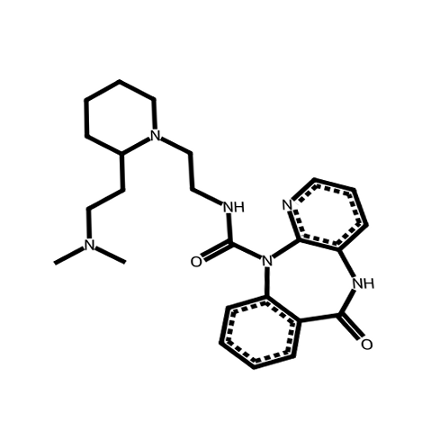 CN(C)CCC1CCCCN1CCNC(=O)N1c2ccccc2C(=O)Nc2cccnc21